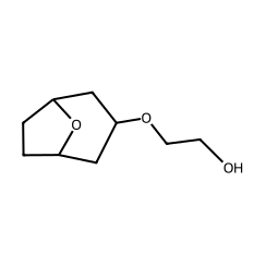 OCCOC1CC2CCC(C1)O2